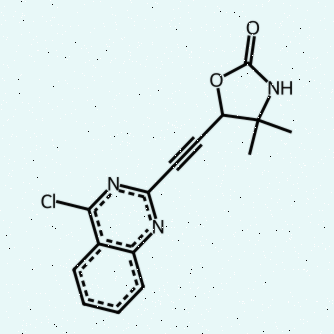 CC1(C)NC(=O)OC1C#Cc1nc(Cl)c2ccccc2n1